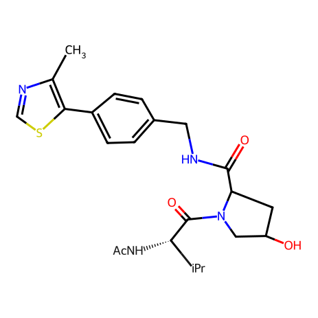 CC(=O)N[C@H](C(=O)N1CC(O)CC1C(=O)NCc1ccc(-c2scnc2C)cc1)C(C)C